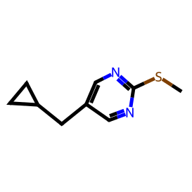 CSc1ncc(CC2CC2)cn1